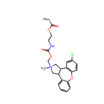 CCCCCCCCCC(=O)OCCNC(=O)OC[N+]1(C)CC2c3ccccc3Oc3ccc(Cl)cc3C2C1